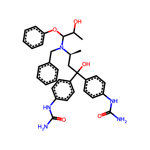 CC(O)C(Oc1ccccc1)N(Cc1ccccc1)[C@@H](C)CC(O)(c1ccc(NC(N)=O)cc1)c1ccc(NC(N)=O)cc1